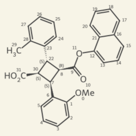 COc1ccccc1[C@@H]1[C@H](C(=O)Oc2cccc3ccccc23)[C@@H](c2ccccc2C)[C@@H]1C(=O)O